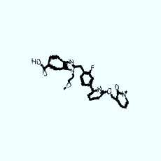 COCCn1c(Cc2ccc(-c3cccc(OCc4cccn(C)c4=O)n3)cc2F)nc2ccc(C(=O)O)cc21